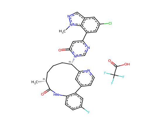 C[C@@H]1CCC[C@H](n2cnc(-c3cc(Cl)cc4cnn(C)c34)cc2=O)c2cc(ccn2)-c2cc(F)ccc2NC1=O.O=C(O)C(F)(F)F